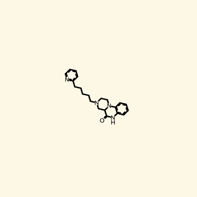 O=C1Nc2ccccc2N2CCN(CCCCCc3ccccn3)CC12